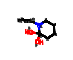 CCCCCN1CCCCC1(O)O